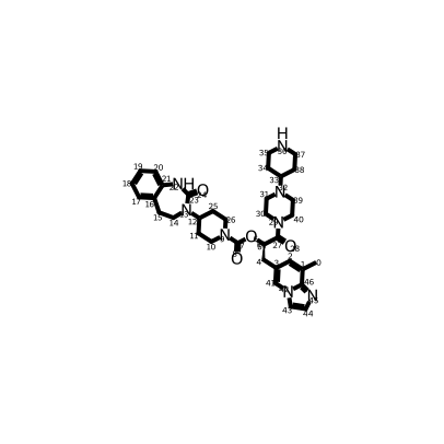 Cc1cc(C[C@@H](OC(=O)N2CCC(N3CCc4ccccc4NC3=O)CC2)C(=O)N2CCN(C3CCNCC3)CC2)cn2ccnc12